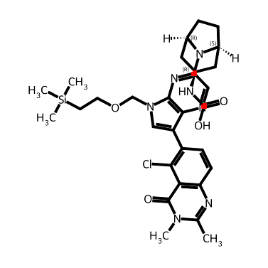 Cc1nc2ccc(-c3cn(COCC[Si](C)(C)C)c4nc(N5[C@@H]6CC[C@H]5C[C@@H](NC(=O)O)C6)cnc34)c(Cl)c2c(=O)n1C